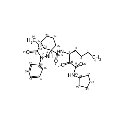 CCCC[C@H](NC(=O)C1(NN(C(=O)OC)c2ccccc2)CCCCC1)C(=O)C(=O)NC1CCCC1